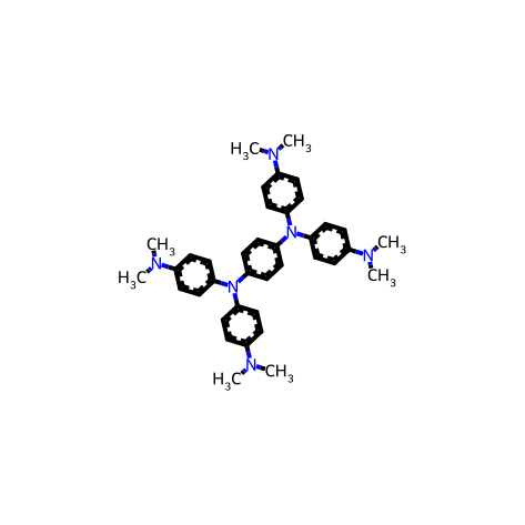 CN(C)c1ccc(N(c2ccc(N(C)C)cc2)c2ccc(N(c3ccc(N(C)C)cc3)c3ccc(N(C)C)cc3)cc2)cc1